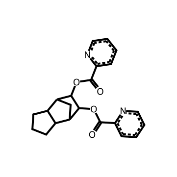 O=C(OC1C2CC(C3CCCC32)C1OC(=O)c1ccccn1)c1ccccn1